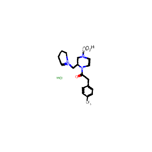 Cl.O=C(O)N1CCN(C(=O)Cc2ccc(C(F)(F)F)cc2)C(CN2CCCC2)C1